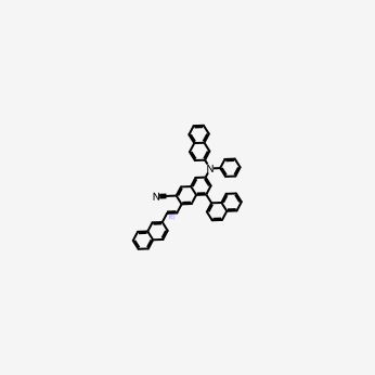 N#Cc1cc2cc(N(c3ccccc3)c3ccc4ccccc4c3)cc(-c3cccc4ccccc34)c2cc1/C=C/c1ccc2ccccc2c1